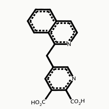 O=C(O)c1cc(Cc2nccc3ccccc23)cnc1C(=O)O